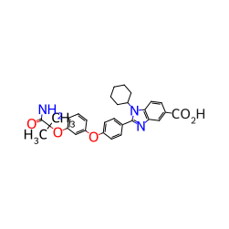 CC(C)(Oc1cccc(Oc2ccc(-c3nc4cc(C(=O)O)ccc4n3C3CCCCC3)cc2)c1)C(N)=O